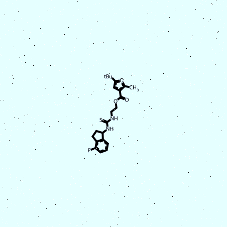 Cc1oc(C(C)(C)C)cc1C(=O)OCCNC(=S)NC1CCc2c(F)cccc21